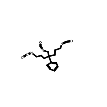 O=C=NCCCC(CCCN=C=O)(CN=C=O)c1ccccc1